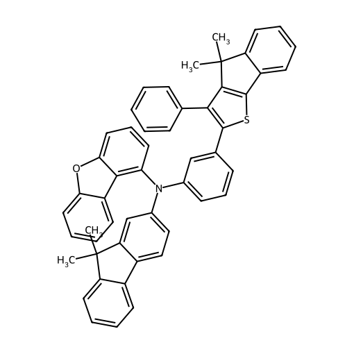 CC1(C)c2ccccc2-c2ccc(N(c3cccc(-c4sc5c(c4-c4ccccc4)C(C)(C)c4ccccc4-5)c3)c3cccc4oc5ccccc5c34)cc21